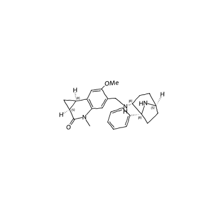 COc1cc2c(cc1CN[C@@H]1CC[C@H]3CC[C@]1(c1ccccc1)N3)N(C)C(=O)[C@H]1C[C@@H]21